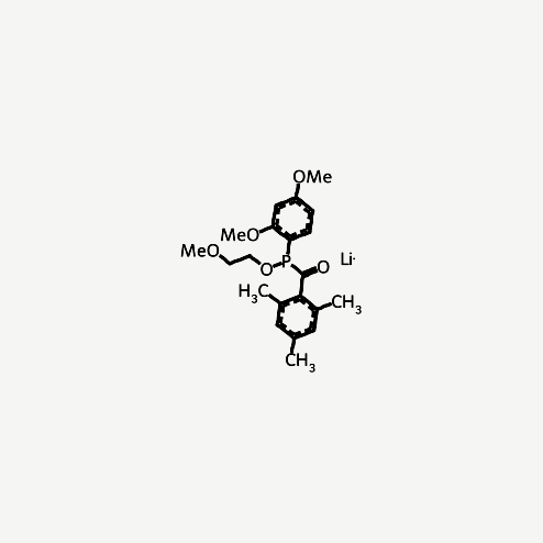 COCCOP(C(=O)c1c(C)cc(C)cc1C)c1ccc(OC)cc1OC.[Li]